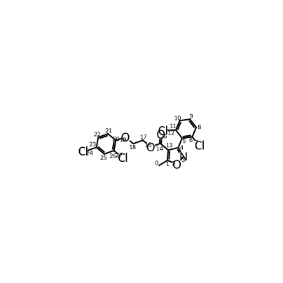 Cc1onc(-c2c(Cl)cccc2Cl)c1C(=O)OCCOc1ccc(Cl)cc1Cl